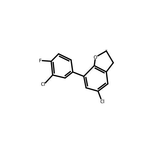 Fc1ccc(-c2cc(Cl)cc3c2O[C]C3)cc1Cl